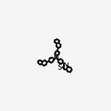 c1ccc2cc(-c3ccc(N(c4ccc(-c5ccc6ccccc6c5)cc4)c4ccc5c(c4)sc4cc6ccccc6nc45)cc3)ccc2c1